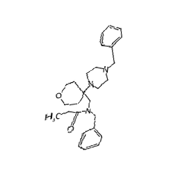 CCC(=O)N(Cc1ccccc1)CC1(N2CCN(Cc3ccccc3)CC2)CCOCC1